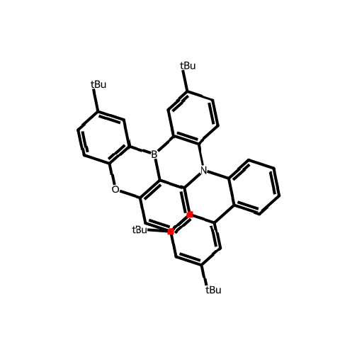 CC(C)(C)c1cc(-c2ccccc2N2c3ccc(C(C)(C)C)cc3B3c4cc(C(C)(C)C)ccc4Oc4cccc2c43)cc(C(C)(C)C)c1